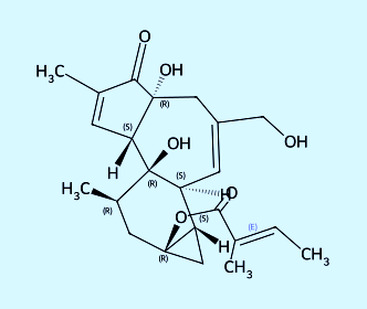 C/C=C(\C)C(=O)O[C@@]12C[C@@H](C)[C@@]3(O)[C@@H](C=C(CO)C[C@]4(O)C(=O)C(C)=C[C@@H]34)[C@@H]1C2